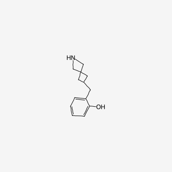 Oc1ccccc1CC1CC2(CNC2)C1